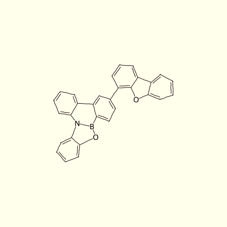 c1ccc2c(c1)OB1c3ccc(-c4cccc5c4oc4ccccc45)cc3-c3ccccc3N12